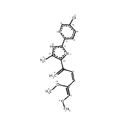 C=C(/C=C\C(=C\OC)OC)c1nc(-c2ccc(Cl)cn2)[nH]c1C